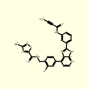 CC#CC(=O)Nc1cccc(-c2nc3c(-c4ccc(CNC(=O)c5nc(C(C)(C)C)no5)c(F)c4)ccnc3[nH]2)c1